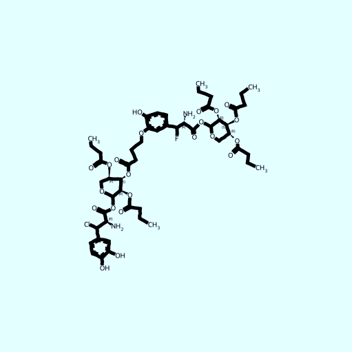 CCCC(=O)O[C@H]1[C@H](OC(=O)CCC)COC(OC(=O)[C@@H](N)C(F)c2ccc(O)c(OCCCC(=O)O[C@H]3[C@H](OC(=O)CCC)COC(OC(=O)[C@@H](N)C(Cl)c4ccc(O)c(O)c4)[C@@H]3OC(=O)CCC)c2)[C@@H]1OC(=O)CCC